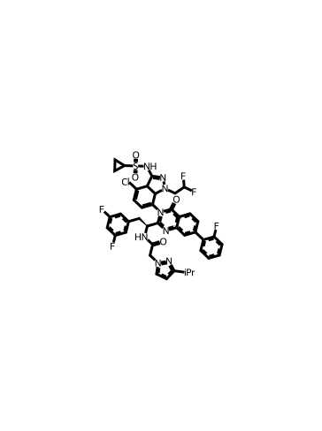 CC(C)c1ccn(CC(=O)N[C@@H](Cc2cc(F)cc(F)c2)c2nc3cc(-c4ccccc4F)ccc3c(=O)n2C2=CC=C(Cl)C3C(NS(=O)(=O)C4CC4)=NN(CC(F)F)C23)n1